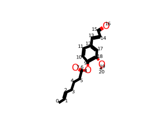 CC=CCCCC(=O)Oc1ccc(/C=C/C=O)cc1OC